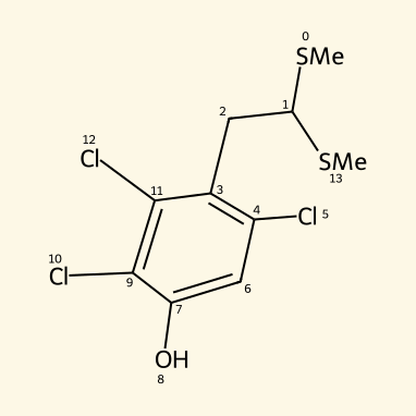 CSC(Cc1c(Cl)cc(O)c(Cl)c1Cl)SC